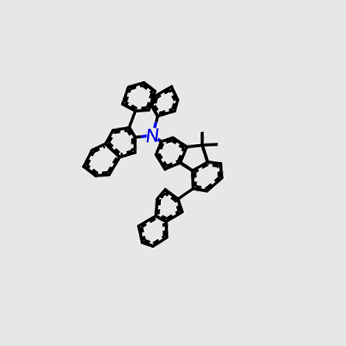 CC1(C)c2cc(N(c3ccccc3)c3cc4ccccc4cc3-c3ccccc3)ccc2-c2c(-c3ccc4ccccc4c3)cccc21